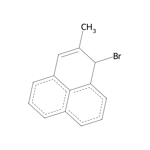 CC1=Cc2cccc3cccc(c23)C1Br